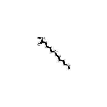 CNC(=O)CCCCOCCCCCOC